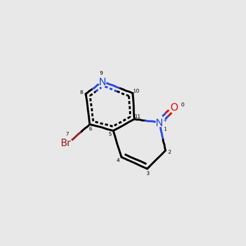 O=[N+]1CC=Cc2c(Br)cncc21